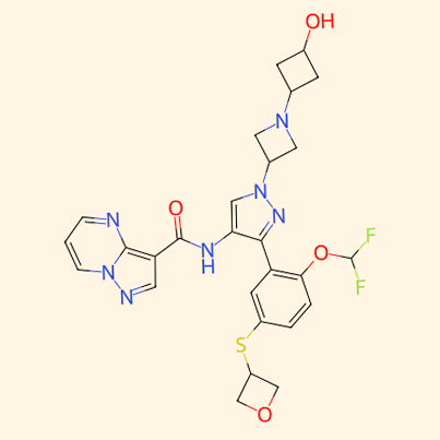 O=C(Nc1cn(C2CN(C3CC(O)C3)C2)nc1-c1cc(SC2COC2)ccc1OC(F)F)c1cnn2cccnc12